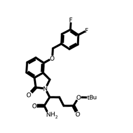 CC(C)(C)OC(=O)CCC(C(N)=O)N1Cc2c(OCc3ccc(F)c(F)c3)cccc2C1=O